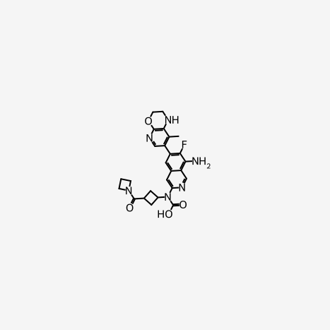 Cc1c(-c2cc3cc(N(C(=O)O)C4CC(C(=O)N5CCC5)C4)ncc3c(N)c2F)cnc2c1NCCO2